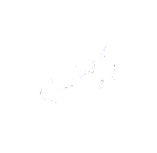 CCc1nc(Cn2cnc3c2c(=O)n(C)c(=O)n3C)no1